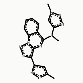 Cc1cc(-c2nnn3c2nc(N(C)c2cn(C)nn2)c2ccccc23)no1